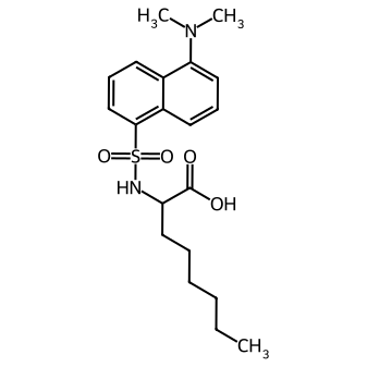 CCCCCCC(NS(=O)(=O)c1cccc2c(N(C)C)cccc12)C(=O)O